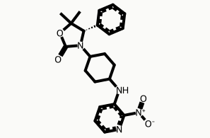 CC1(C)OC(=O)N(C2CCC(Nc3cccnc3[N+](=O)[O-])CC2)[C@H]1c1ccccc1